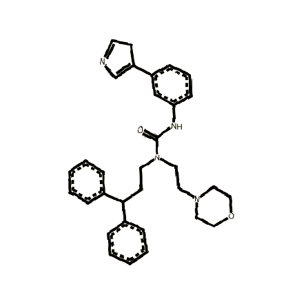 O=C(Nc1cccc(C2=CN=CC2)c1)N(CCC(c1ccccc1)c1ccccc1)CCN1CCOCC1